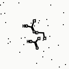 ClCCl.O=C(O)Cl.O=C(O)Cl